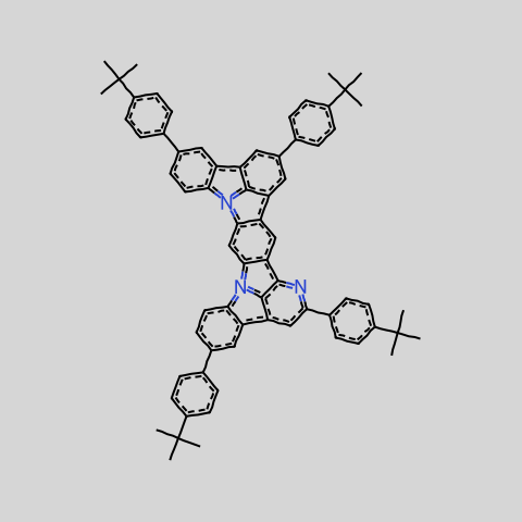 CC(C)(C)c1ccc(-c2ccc3c(c2)c2cc(-c4ccc(C(C)(C)C)cc4)cc4c5cc6c7nc(-c8ccc(C(C)(C)C)cc8)cc8c9cc(-c%10ccc(C(C)(C)C)cc%10)ccc9n(c6cc5n3c24)c87)cc1